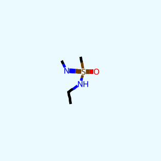 CCNS(C)(=O)=NC